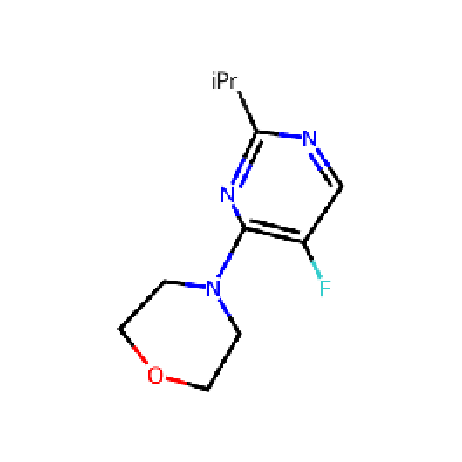 CC(C)c1ncc(F)c(N2CCOCC2)n1